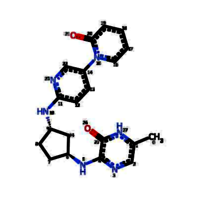 Cc1cnc(N[C@H]2CC[C@H](Nc3ccc(-n4ccccc4=O)cn3)C2)c(=O)[nH]1